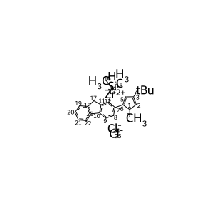 CC1C=C(C(C)(C)C)C=C1c1ccc2c([c]1[Zr+2][SiH](C)C)Cc1ccccc1-2.[Cl-].[Cl-]